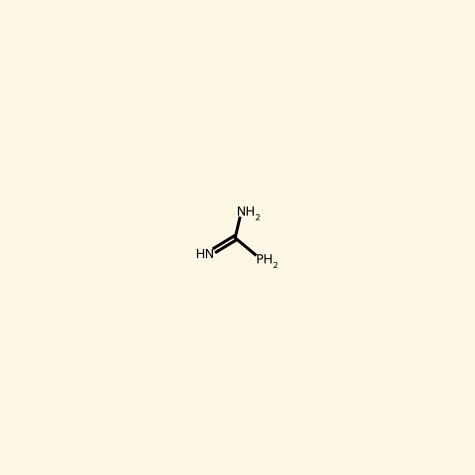 N=C(N)P